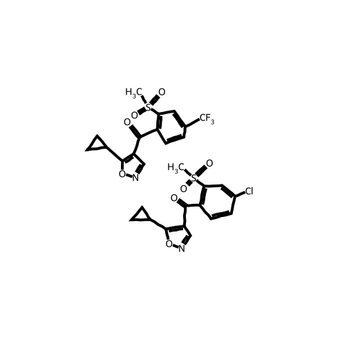 CS(=O)(=O)c1cc(C(F)(F)F)ccc1C(=O)c1cnoc1C1CC1.CS(=O)(=O)c1cc(Cl)ccc1C(=O)c1cnoc1C1CC1